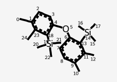 Cc1ccc(Oc2ccc(C)c(C)c2[Si](C)(C)C)c([Si](C)(C)C)c1C